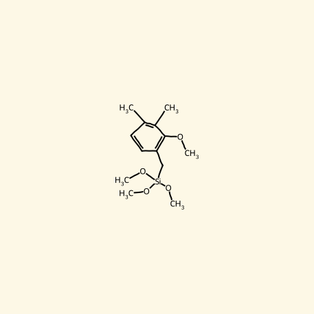 COc1c(C[Si](OC)(OC)OC)ccc(C)c1C